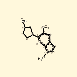 Cn1ncc2cc([N+](=O)[O-])c(N3CCC(O)C3)nc21